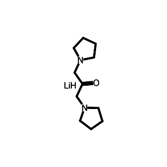 O=C(CN1CCCC1)CN1CCCC1.[LiH]